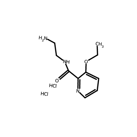 CCOc1cccnc1C(=O)NCCN.Cl.Cl